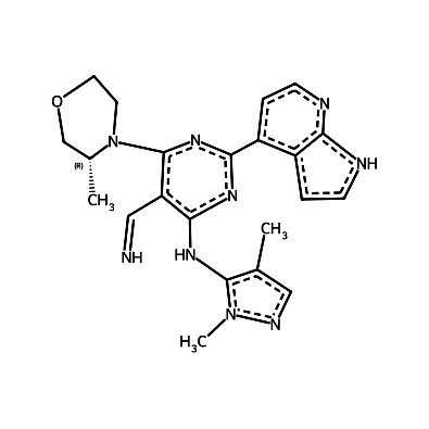 Cc1cnn(C)c1Nc1nc(-c2ccnc3[nH]ccc23)nc(N2CCOC[C@H]2C)c1C=N